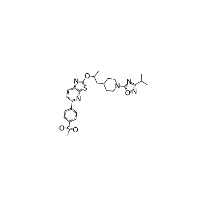 CC(CC1CCN(c2nc(C(C)C)no2)CC1)Oc1nc2ccc(-c3ccc(S(C)(=O)=O)cc3)nc2s1